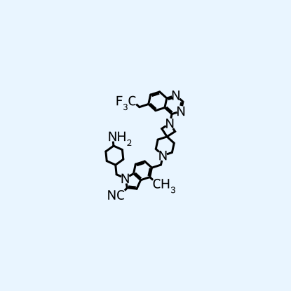 Cc1c(CN2CCC3(CC2)CN(c2ncnc4ccc(CC(F)(F)F)cc24)C3)ccc2c1cc(C#N)n2CC1CCC(N)CC1